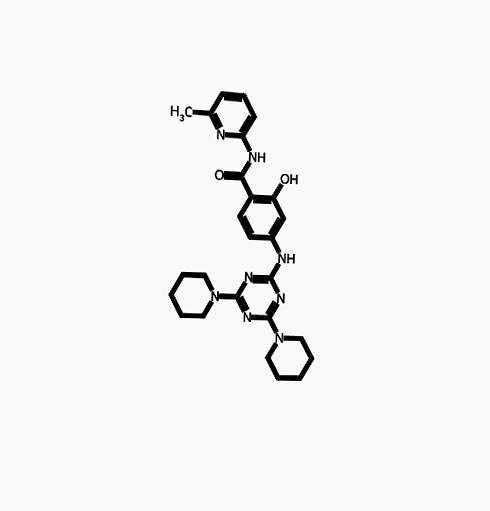 Cc1cccc(NC(=O)c2ccc(Nc3nc(N4CCCCC4)nc(N4CCCCC4)n3)cc2O)n1